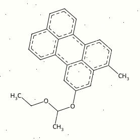 CCOC(C)Oc1cc2c(C)ccc3c4cccc5cccc(c(c1)c23)c54